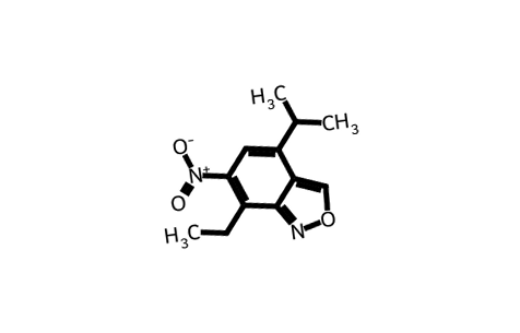 CCc1c([N+](=O)[O-])cc(C(C)C)c2conc12